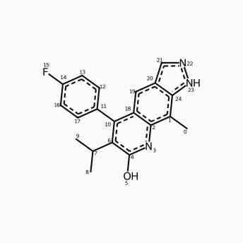 Cc1c2nc(O)c(C(C)C)c(-c3ccc(F)cc3)c2cc2cn[nH]c12